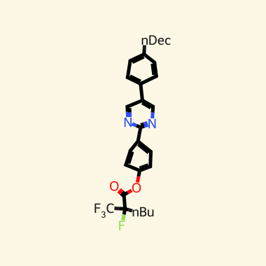 CCCCCCCCCCc1ccc(-c2cnc(-c3ccc(OC(=O)C(F)(CCCC)C(F)(F)F)cc3)nc2)cc1